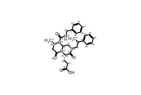 CC(CN1CC2N(C(=O)CN(C)N2C(=O)NCc2ccccc2)[C@@H](CCC(=O)O)C1=O)c1ccccc1